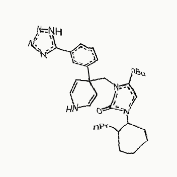 CCCCc1cn(C2CCCCC2CCC)c(=O)n1CC1(c2cccc(-c3nnn[nH]3)c2)C=CNC=C1